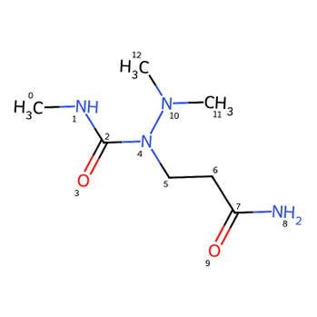 CNC(=O)N(CCC(N)=O)N(C)C